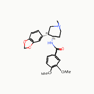 COc1ccc(C(=O)N[C@H]2CCN(C)C[C@H]2c2ccc3c(c2)OCO3)cc1OC